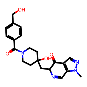 Cn1ncc2c1C=NC(CC1(O)CCN(C(=O)c3ccc(CO)cc3)CC1)C2=O